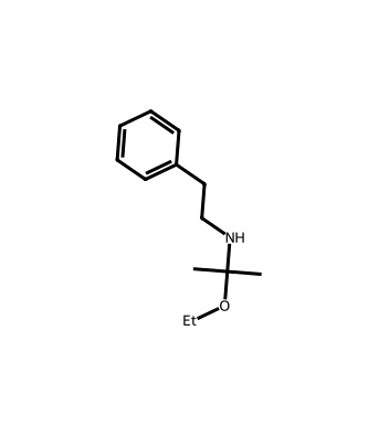 CCOC(C)(C)NCCc1ccccc1